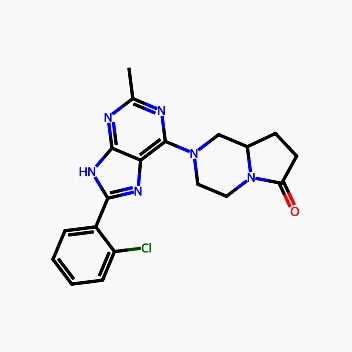 Cc1nc(N2CCN3C(=O)CCC3C2)c2nc(-c3ccccc3Cl)[nH]c2n1